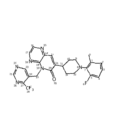 Cc1cccc(F)c1N1CCC(c2cc3nccnc3n(Cc3cncnc3C(F)(F)F)c2=O)CC1